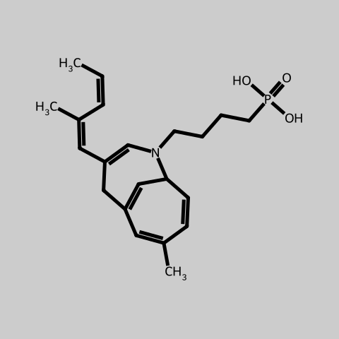 C/C=C\C(C)=C/C1=CN(CCCCP(=O)(O)O)C2C=CC(C)=CC(=C2)C1